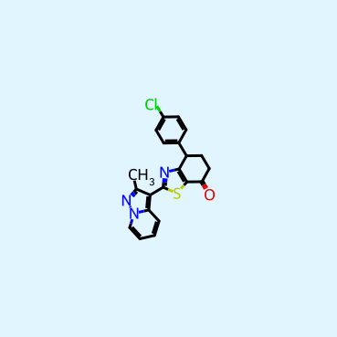 Cc1nn2ccccc2c1-c1nc2c(s1)C(=O)CCC2c1ccc(Cl)cc1